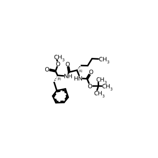 CCCC[C@H](NC(=O)OC(C)(C)C)C(=O)N[C@H](Cc1ccccc1)C(=O)OC